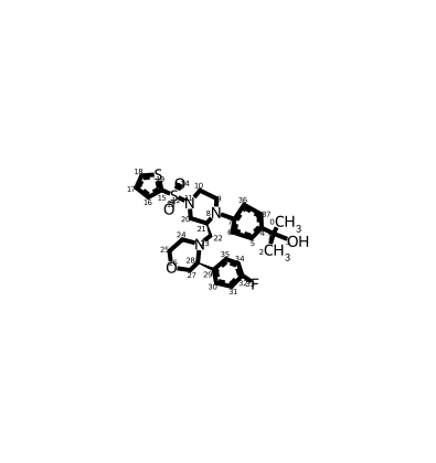 CC(C)(O)c1ccc(N2CCN(S(=O)(=O)c3cccs3)C[C@@H]2CN2CCOC[C@@H]2c2ccc(F)cc2)cc1